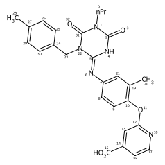 CCCn1c(=O)[nH]/c(=N\c2ccc(Oc3cc(C(=O)O)ccn3)c(C)c2)n(Cc2ccc(C)cc2)c1=O